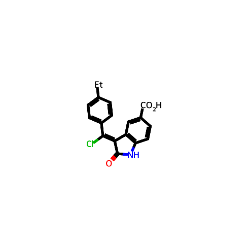 CCc1ccc(/C(Cl)=C2/C(=O)Nc3ccc(C(=O)O)cc32)cc1